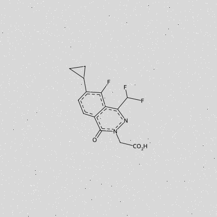 O=C(O)Cn1nc(C(F)F)c2c(F)c(C3CC3)ccc2c1=O